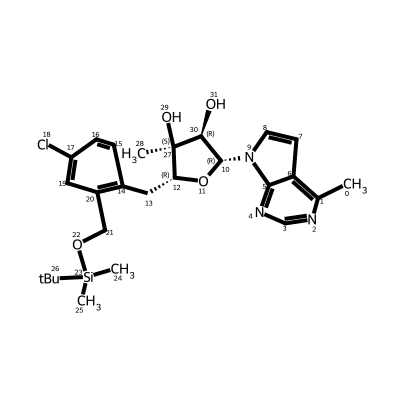 Cc1ncnc2c1ccn2[C@@H]1O[C@H](Cc2ccc(Cl)cc2CO[Si](C)(C)C(C)(C)C)[C@@](C)(O)[C@H]1O